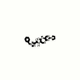 CN1C(=O)[C@@H](NC(=O)c2ncn(Cc3ccccc3)n2)CSc2nc(N3CCCC3)ncc21